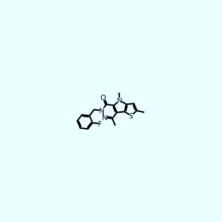 Cc1cc2c(s1)c1c(C)nn(Cc3ccccc3F)c(=O)c1n2C